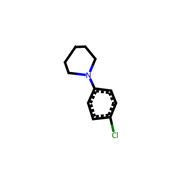 Clc1ccc(N2CC[CH]CC2)cc1